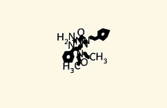 CC1CN(c2c(-c3ccccc3)nc(N)n3c(=O)n(CCc4ccccc4)nc23)CC(C)O1